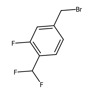 Fc1cc(CBr)ccc1C(F)F